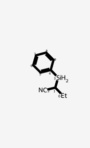 CCC(C#N)[SiH2]c1ccccc1